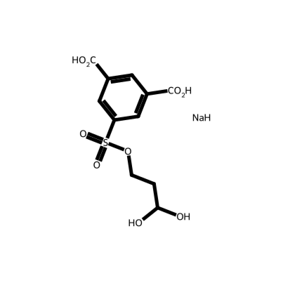 O=C(O)c1cc(C(=O)O)cc(S(=O)(=O)OCCC(O)O)c1.[NaH]